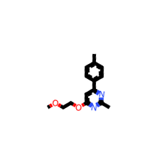 COCCOc1cc(-c2ccc(C)cc2)nc(C)n1